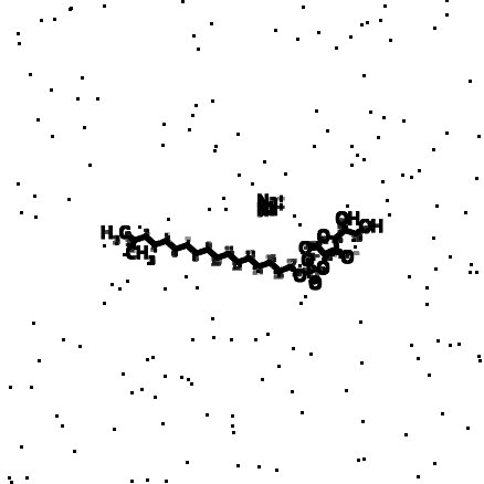 CC(C)CCCCCCCCCCCCCCCOP(=O)([O-])OC1=C([O-])[C@@H]([C@@H](O)CO)OC1=O.[Na+].[Na+]